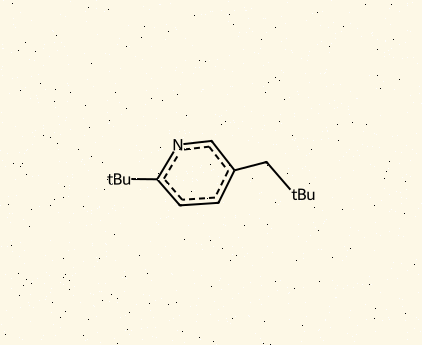 CC(C)(C)Cc1ccc(C(C)(C)C)nc1